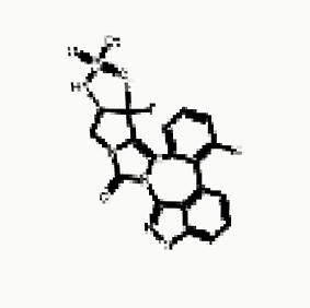 CCS(=O)(=O)N[C@@H]1Cn2c(cn(-c3noc4cccc(-c5c(F)cccc5F)c34)c2=O)C1(F)F